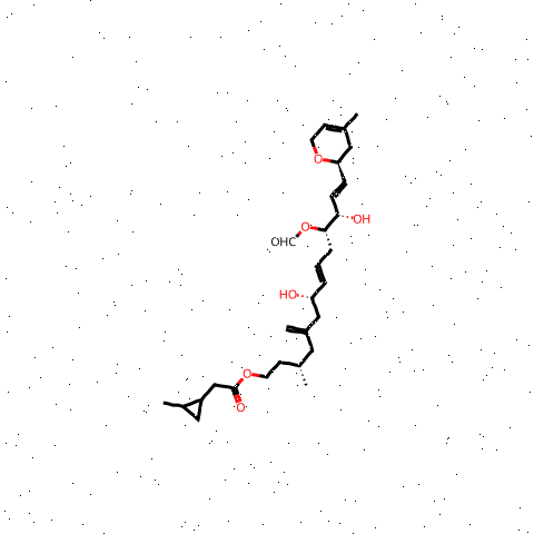 C=C(C[C@H](C)CCOC(=O)CC1CC1C)C[C@H](O)/C=C/C[C@H](OC=O)[C@@H](O)/C=C/[C@@H]1CC(C)=CCO1